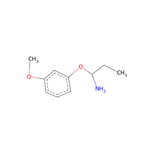 CCC(N)Oc1cccc(OC)c1